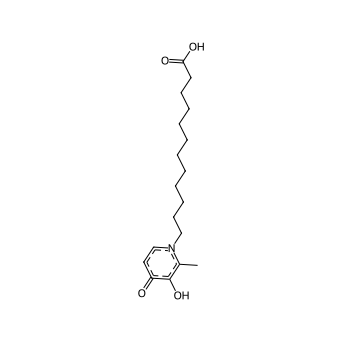 Cc1c(O)c(=O)ccn1CCCCCCCCCCCC(=O)O